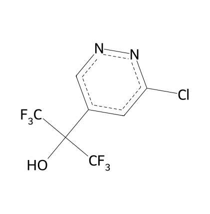 OC(c1cnnc(Cl)c1)(C(F)(F)F)C(F)(F)F